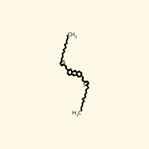 CCCCCCCCCCCCc1ccc(C=Cc2ccc3cc4cc(C=Cc5ccc(CCCCCCCCCCCC)s5)ccc4cc3c2)s1